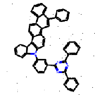 C1=CCC2C(=C1)N(c1cccc(-c3nc(-c4ccccc4)nc(-c4ccccc4)n3)c1)c1ccc3c(ccc4c5ccccc5c(-c5ccccc5)cc34)c12